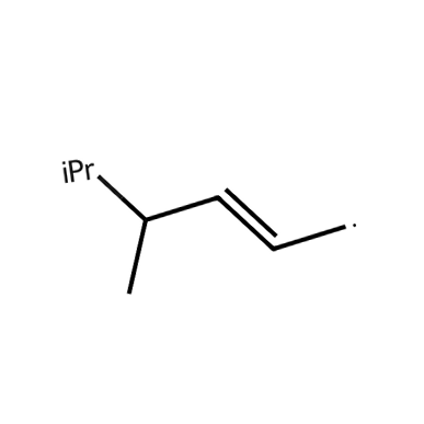 [CH2]C=CC(C)C(C)C